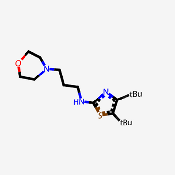 CC(C)(C)c1nc(NCCCN2CCOCC2)sc1C(C)(C)C